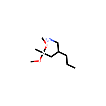 CCCC(CN)C[Si](C)(OC)OC